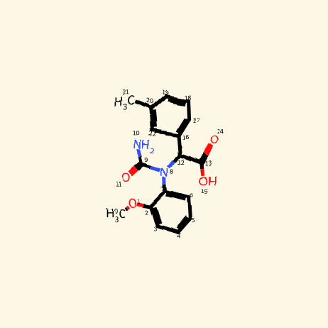 COc1ccccc1N(C(N)=O)C(C(=O)O)c1cccc(C)c1